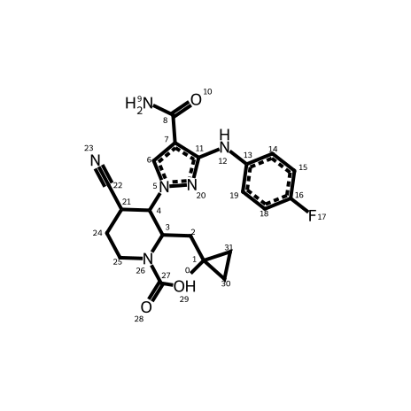 CC1(CC2C(n3cc(C(N)=O)c(Nc4ccc(F)cc4)n3)C(C#N)CCN2C(=O)O)CC1